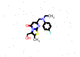 CCN(Cc1cc(=O)n2c(CO)c(C)sc2n1)c1ccc(F)cc1